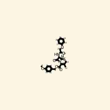 COc1ccc(COC(=O)C2=C(C)CS[C@@H]3[C@H](NC(=O)COc4ccccc4)C(=O)N23)cc1